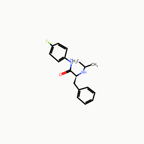 CC(C)N[C@@H](Cc1ccccc1)C(=O)Nc1ccc(F)cc1